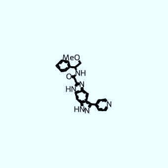 COCC(NC(=O)c1nc2cc3c(-c4ccncc4)n[nH]c3cc2[nH]1)c1ccccc1